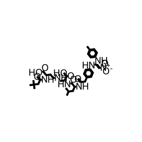 Cc1ccc(NC(=C[N+](=O)[O-])Nc2ccc(CC(=O)NC(CC(C)C)C(=O)NC(CNCCC(NC(=O)CC(C)(C)C)C(=O)O)C(=O)O)cc2)cc1